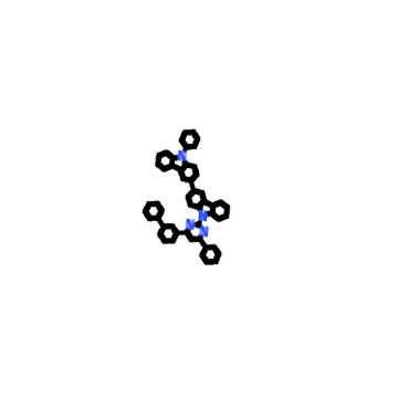 c1ccc(-c2cccc(-c3cc(-c4ccccc4)nc(-n4c5ccccc5c5cc(-c6ccc7c(c6)c6ccccc6n7-c6ccccc6)ccc54)n3)c2)cc1